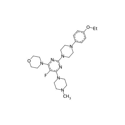 CCOc1ccc(N2CCN(c3nc(N4CCOCC4)c(F)c(N4CCN(C)CC4)n3)CC2)cc1